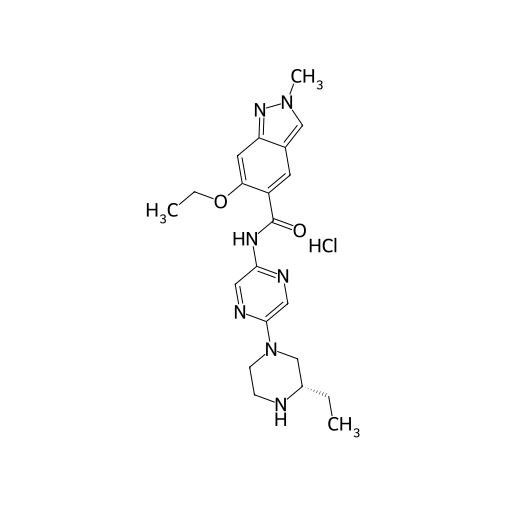 CCOc1cc2nn(C)cc2cc1C(=O)Nc1cnc(N2CCN[C@@H](CC)C2)cn1.Cl